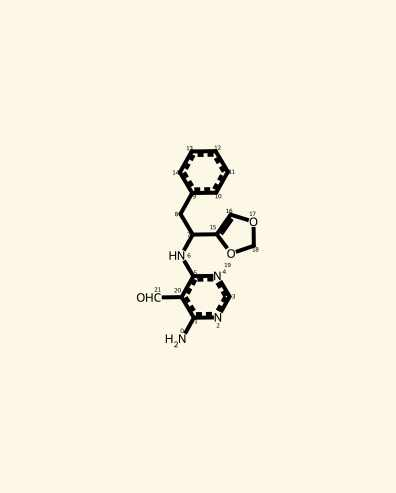 Nc1ncnc(NC(Cc2ccccc2)C2=COCO2)c1C=O